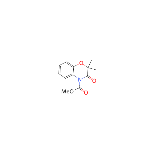 COC(=O)N1C(=O)C(C)(C)Oc2ccccc21